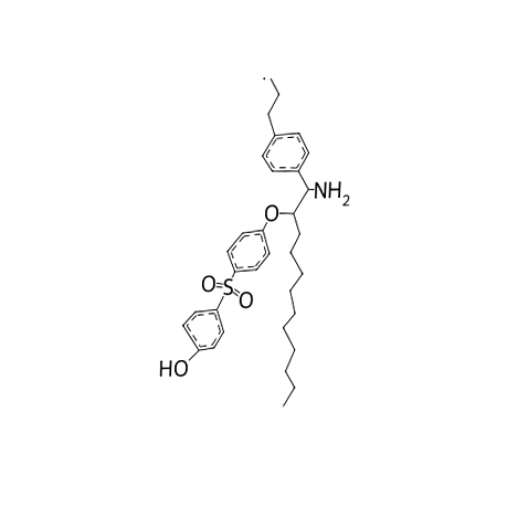 [CH2]CCc1ccc(C(N)C(CCCCCCCCCC)Oc2ccc(S(=O)(=O)c3ccc(O)cc3)cc2)cc1